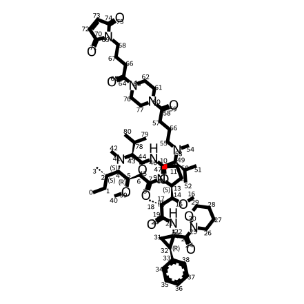 CC[C@H](C)[C@@H]([C@@H](CC(=O)N1CCC[C@H]1C(OC)[C@@H](C)C(=O)N[C@@]1(C(=O)N2CCCCO2)C[C@@H]1c1ccccc1)OC)N(C)[C@H](C(=O)NC(=O)[C@H](C(C)C)N(C)CCCC(=O)N1CCN(C(=O)CCCN2C(=O)C=CC2=O)CC1)C(C)C